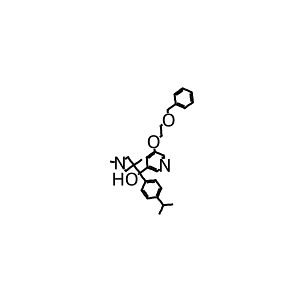 CC(C)c1ccc([C@](O)(c2cncc(OCCOCc3ccccc3)c2)C2(C)CN(C)C2)cc1